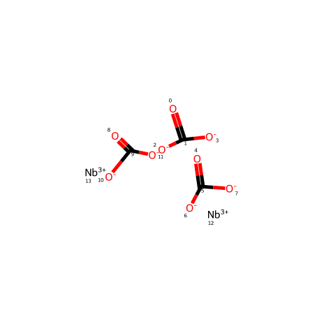 O=C([O-])[O-].O=C([O-])[O-].O=C([O-])[O-].[Nb+3].[Nb+3]